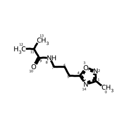 Cc1noc(CCCNC(=O)C(C)C)n1